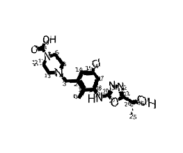 Cc1c(CN2CCN(C(=O)O)[C@@H](C)C2)cc(Cl)cc1Nc1nnc([C@@H](C)O)o1